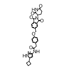 O=C1CCC(N2C(=O)c3ccc(COc4ccc(CC(=O)Nc5cc(C6CCC6)[nH]n5)cc4)cc3C2=O)C(=O)N1